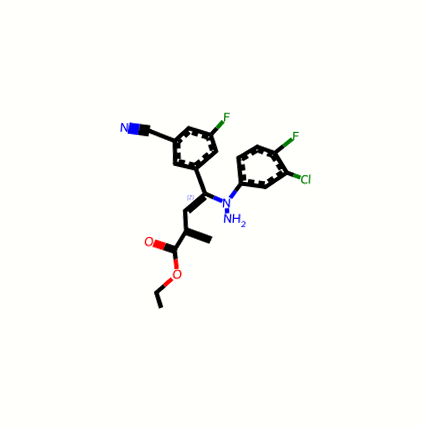 C=C(/C=C(/c1cc(F)cc(C#N)c1)N(N)c1ccc(F)c(Cl)c1)C(=O)OCC